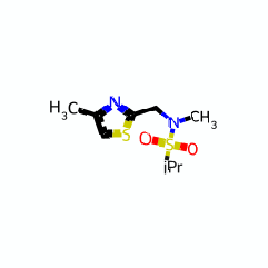 Cc1csc(CN(C)S(=O)(=O)C(C)C)n1